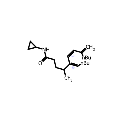 C=C(/C=C\C(=C/CCCC)C(CCC(=O)NC1CC1)C(F)(F)F)CCCC